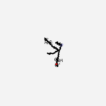 CCCCC/C=C\CCC(CCCCCCCC(=O)NCCC[N+](C)(C)C)C(CCCCCCCC)CCCCCCCCC(=O)NCCC[N+](C)(C)C